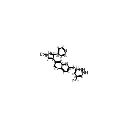 CCn1cc(-c2cnc3ccc(NC4=CC(C(C)C)=CNN4)nc3c2)c(-c2ccncc2)n1